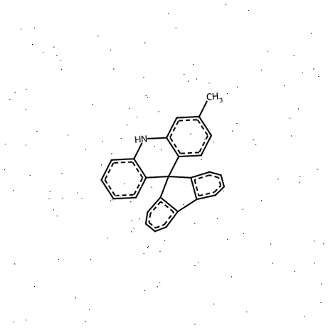 Cc1ccc2c(c1)Nc1ccccc1C21c2ccccc2-c2ccccc21